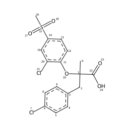 CC(Cc1ccc(Cl)cc1)(Oc1ccc(S(C)(=O)=O)cc1Cl)C(=O)O